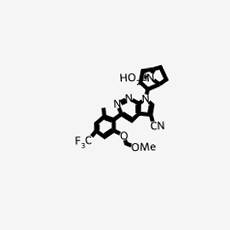 COCOc1cc(C(F)(F)F)cc(C)c1-c1cc2c(C#N)cn(C3CCC4CCC3N4C(=O)O)c2nn1